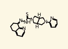 S=C(N/N=C1/CCCc2cccnc21)N1C[C@@H]2CN(c3ccccn3)C[C@@H]2C1